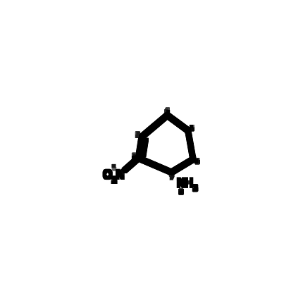 N.O=[N+]([O-])C1=CCCCC1